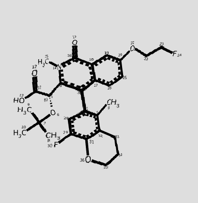 Cc1c(-c2c([C@H](OC(C)(C)C)C(=O)O)n(C)c(=O)c3cc(OCCF)ccc23)cc(F)c2c1CCCO2